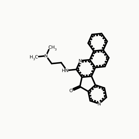 CN(C)CCNc1nc2c(ccc3ccccc32)c2c1C(=O)c1cnccc1-2